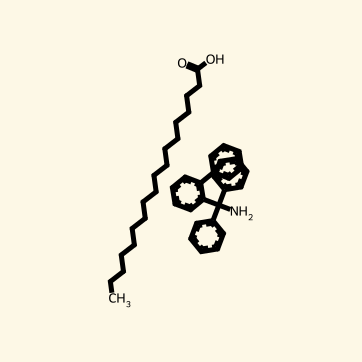 CCCCCCCCCCCCCCCCCC(=O)O.NC(c1ccccc1)(c1ccccc1)c1ccccc1-c1ccccc1